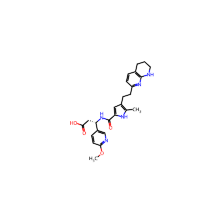 COc1ccc([C@H](CC(=O)O)NC(=O)c2cc(CCc3ccc4c(n3)NCCC4)c(C)[nH]2)cn1